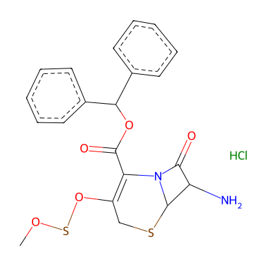 COSOC1=C(C(=O)OC(c2ccccc2)c2ccccc2)N2C(=O)C(N)C2SC1.Cl